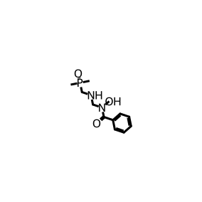 CP(C)(=O)CNCN(O)C(=O)c1ccccc1